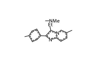 CCc1c(-c2ccc(C)cc2)nc2ccc(C)cn12.CNC